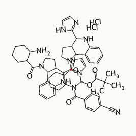 CC(C)(C)C(=O)OC(N(C(=O)c1ccc(C#N)cc1)C1CCCCC1C(=O)N1CCC2C(c3ncc[nH]3)Nc3ccccc3C21)n1ccnc1C1Nc2ccccc2C2C1CCN2C(=O)C1CCCCC1N.Cl.Cl